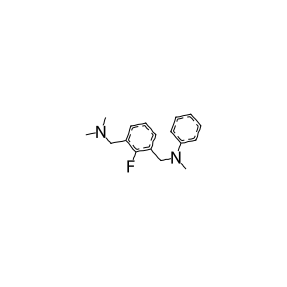 CN(C)Cc1cccc(CN(C)c2ccccc2)c1F